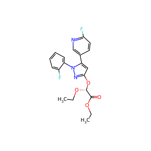 CCOC(=O)[C@H](OCC)Oc1cc(-c2ccc(F)nc2)n(-c2ccccc2F)n1